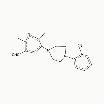 Cc1nc(C)c(N2CCN(c3ccccc3C#N)CC2)cc1C=O